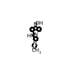 CN1CCN(c2ccc3nc(-c4cccc5c4-c4ccccc4C5=NO)[nH]c3c2)CC1